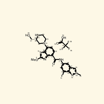 COc1nc2c(C(=O)Nc3cc(F)c4nn(C)cc4c3)ccc(N3CCN[C@@H](CO)C3)c2s1.O=C(O)C(F)(F)F